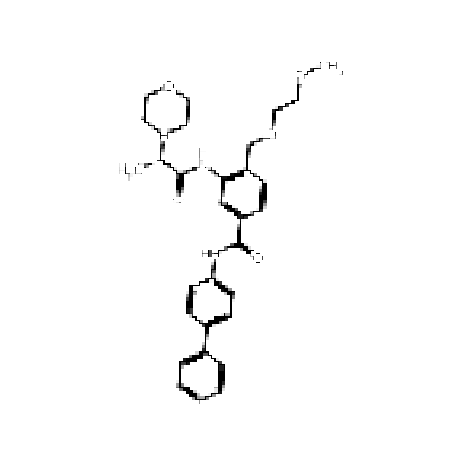 COCCOCc1ccc(C(=O)Nc2ccc(-c3ccccc3)cc2)cc1NC(=O)[C@@H](C)N1CCOCC1